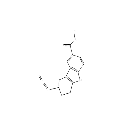 O=C(NO)c1ccc2[nH]c3c(c2c1)CC(N=C=S)CC3